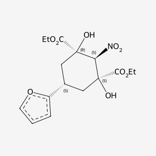 CCOC(=O)[C@]1(O)C[C@H](c2ccco2)C[C@](O)(C(=O)OCC)[C@H]1[N+](=O)[O-]